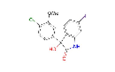 COc1cc(C2(O)C(=O)Nc3cc(I)ccc32)ccc1Cl